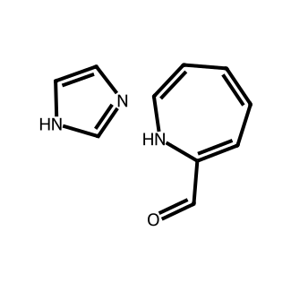 O=CC1=CC=CC=CN1.c1c[nH]cn1